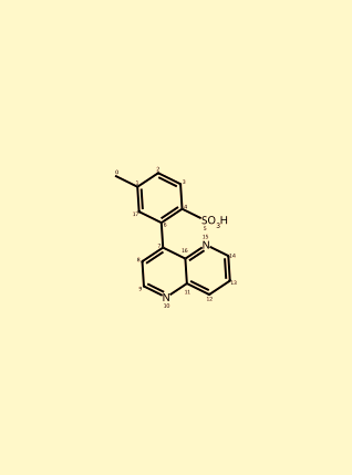 Cc1ccc(S(=O)(=O)O)c(-c2ccnc3cccnc23)c1